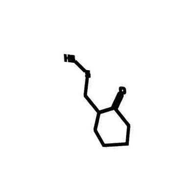 O=C1CCCCC1CSS